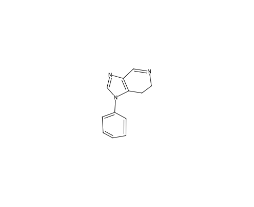 C1=NCCc2c1ncn2-c1ccccc1